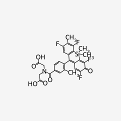 Cc1cc(C(=O)N(CC(=O)O)CC(=O)O)ccc1C1=C2C=C(F)C(=O)C(F)=C2[Si](C)(C)c2c1cc(F)c(C)c2F